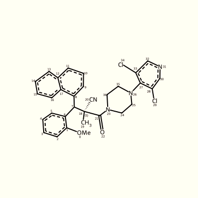 COc1ccccc1C(c1cccc2ccccc12)[C@@](C)(C#N)C(=O)N1CCN(c2c(Cl)cncc2Cl)CC1